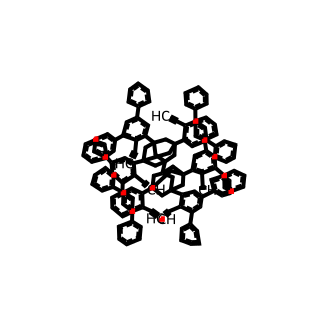 C#Cc1c(-c2ccccc2)cc(-c2ccccc2)cc1C12CC3(c4cc(-c5ccccc5)cc(-c5ccccc5)c4C#C)CC(c4cc(-c5ccccc5)cc(-c5ccccc5)c4C#C)(C1)CC(C14CC5(c6cc(-c7ccccc7)cc(-c7ccccc7)c6C#C)CC(c6cc(-c7ccccc7)cc(-c7ccccc7)c6C#C)(CC(c6cc(-c7ccccc7)cc(-c7ccccc7)c6C#C)(C5)C1)C4)(C2)C3